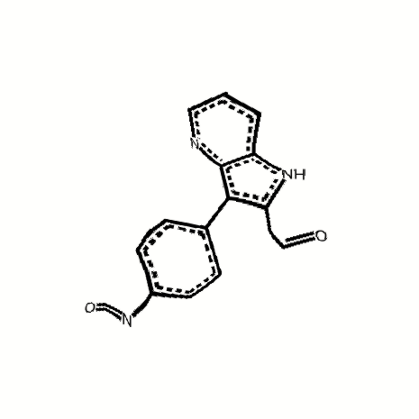 O=Cc1[nH]c2cccnc2c1-c1ccc(N=O)cc1